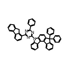 c1ccc(-c2nc(-c3cccc4c3Cc3ccccc3-4)nc(-n3c4ccccc4c4c5c(ccc43)C(c3ccccc3)(c3ccccc3)c3ccccc3-5)n2)cc1